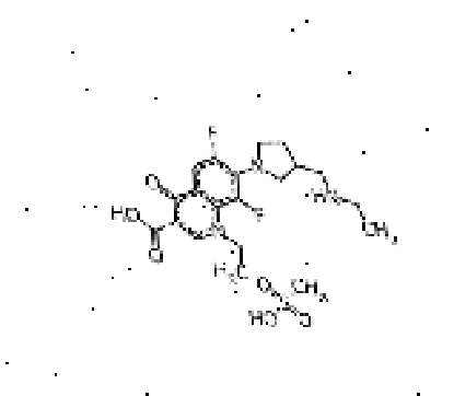 CCNCC1CCN(c2c(F)cc3c(=O)c(C(=O)O)cn(CC)c3c2F)C1.CS(=O)(=O)O